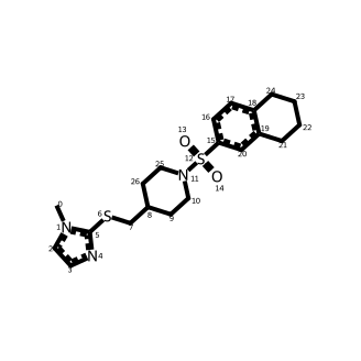 Cn1ccnc1SCC1CCN(S(=O)(=O)c2ccc3c(c2)CCCC3)CC1